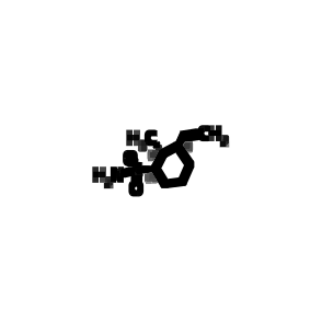 C=C[C@H]1CCC[C@@H](S(N)(=O)=O)[C@@H]1C